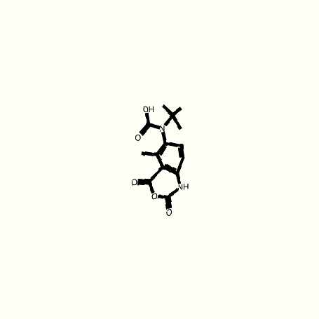 Cc1c(N(C(=O)O)C(C)(C)C)ccc2[nH]c(=O)oc(=O)c12